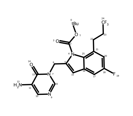 CC(C)(C)OC(=O)n1c(Cn2cncc(N)c2=O)cc2cc(F)cc(CCC(F)(F)F)c21